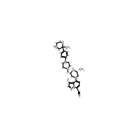 C[C@@H]1CN(c2ccc(C#N)n3ncc(F)c23)C[C@H](CN2CCN(c3ccc(C4(C)CNCCO4)cc3)CC2)O1